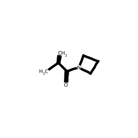 C=C(C)C(=O)N1CCC1